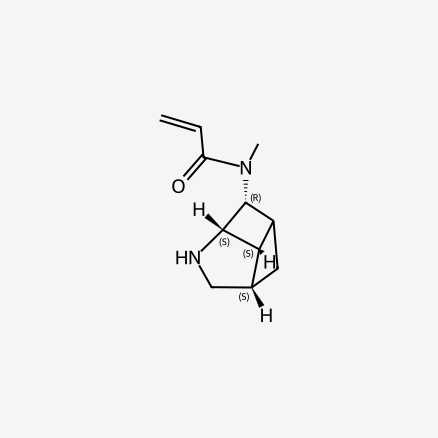 C=CC(=O)N(C)[C@@H]1C2C[C@@H]3CN[C@H]1[C@H]23